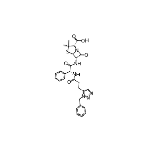 CC1(C)SC2[C@H](NC(=O)[C@H](NC(=O)CCc3cnnn3Cc3ccccc3)c3ccccc3)C(=O)N2[C@H]1C(=O)O